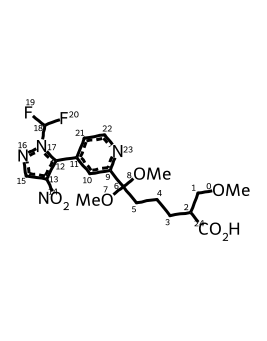 COCC(CCCC(OC)(OC)c1cc(-c2c([N+](=O)[O-])cnn2C(F)F)ccn1)C(=O)O